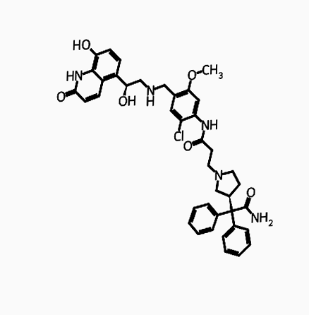 COc1cc(NC(=O)CCN2CC[C@@H](C(C(N)=O)(c3ccccc3)c3ccccc3)C2)c(Cl)cc1CNC[C@@H](O)c1ccc(O)c2[nH]c(=O)ccc12